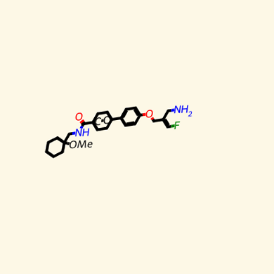 COC1(CNC(=O)C23CCC(c4ccc(OCC(=CF)CN)cc4)(CC2)CC3)CCCCC1